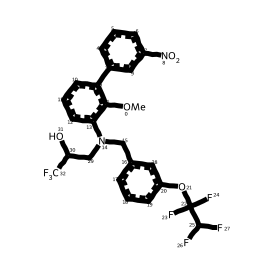 COc1c(-c2cccc([N+](=O)[O-])c2)cccc1N(Cc1cccc(OC(F)(F)C(F)F)c1)CC(O)C(F)(F)F